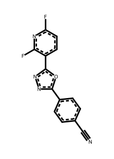 N#Cc1ccc(-c2nnc(-c3ccc(F)nc3F)o2)cc1